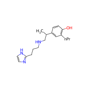 CCCc1cc(C(C)CNCCCc2ncc[nH]2)ccc1O